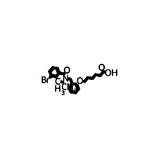 CC(C)N(Cc1ccccc1OCCCCCC(=O)O)C(=O)c1cccc(Br)c1